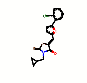 O=C1C(=Cc2ccc(-c3ccccc3Cl)o2)SC(=S)N1CC1CC1